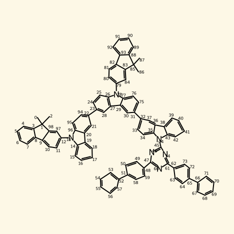 CC1(C)c2ccccc2-c2ccc(-n3c4ccccc4c4cc(-c5ccc6c(c5)c5cc(-c7ccc8c(c7)c7ccccc7n8-c7nc(-c8ccc(-c9ccccc9)cc8)nc(-c8ccc(-c9ccccc9)cc8)n7)ccc5n6-c5ccc6c(c5)C(C)(C)c5ccccc5-6)ccc43)cc21